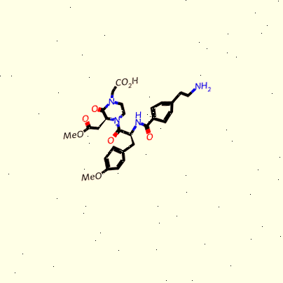 COC(=O)C[C@H]1C(=O)N(CC(=O)O)CCN1C(=O)[C@H](Cc1ccc(OC)cc1)NC(=O)c1ccc(CCN)cc1